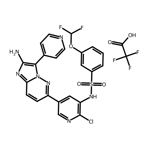 Nc1nc2ccc(-c3cnc(Cl)c(NS(=O)(=O)c4cccc(OC(F)F)c4)c3)nn2c1-c1ccncc1.O=C(O)C(F)(F)F